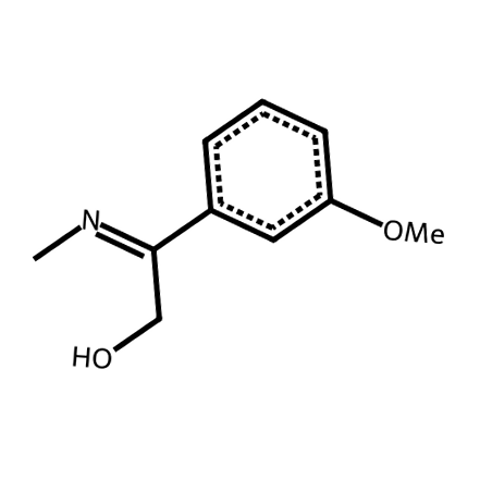 C/N=C(\CO)c1cccc(OC)c1